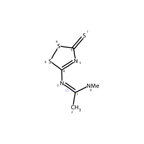 CN/C(C)=N\c1nc(=S)ss1